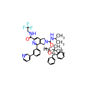 CC(C)NC(=O)N1Cc2cc(C(=O)NCC(F)(F)F)nc(-c3cccc(-c4cccnc4)c3)c2[C@H]1CCO[Si](c1ccccc1)(c1ccccc1)C(C)(C)C